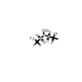 O=CN(S(=O)(=O)C(F)(F)C(F)(F)F)S(=O)(=O)C(F)(F)C(F)(F)F